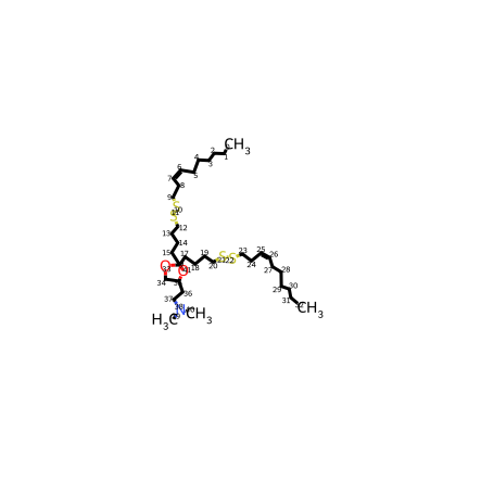 CCCCCC/C=C\CCSSCCCCC1(CCCCSSCC/C=C\CCCCCC)OCC(CCN(C)C)O1